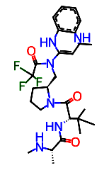 CN[C@@H](C)C(=O)N[C@H](C(=O)N1CCC[C@H]1CN(C(=O)C(F)(F)F)/C(=C/C(C)=N)Nc1ccccc1)C(C)(C)C